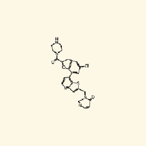 O=C(C1Cc2cc(Cl)cc(-c3ccnc4cc(Cn5cnccc5=O)sc34)c2O1)N1CCNCC1